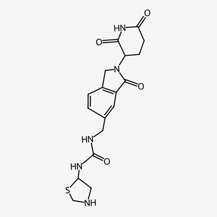 O=C1CCC(N2Cc3ccc(CNC(=O)NC4CNCS4)cc3C2=O)C(=O)N1